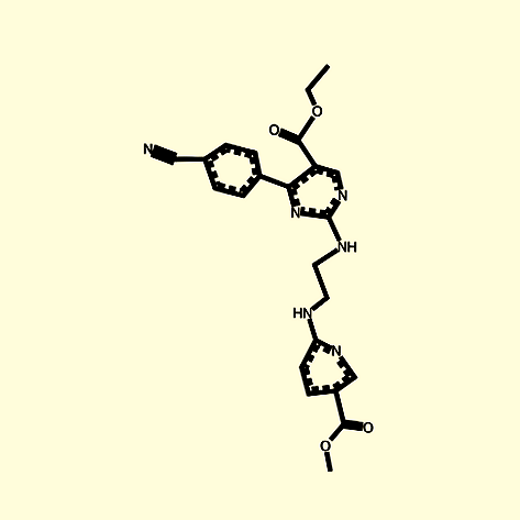 CCOC(=O)c1cnc(NCCNc2ccc(C(=O)OC)cn2)nc1-c1ccc(C#N)cc1